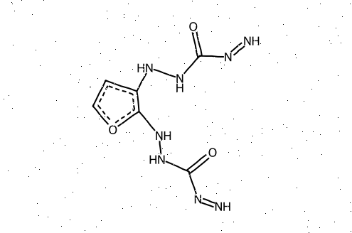 N=NC(=O)NNc1ccoc1NNC(=O)N=N